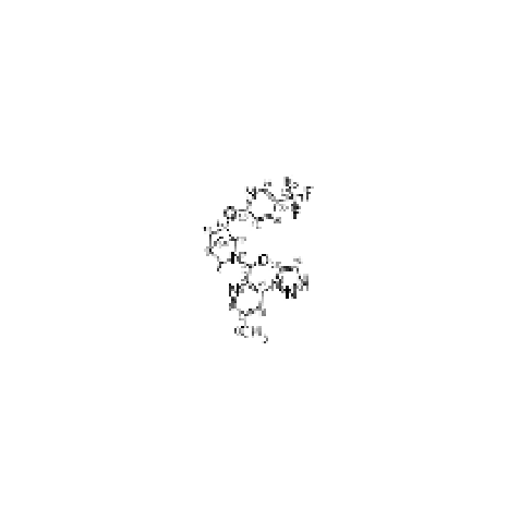 Cc1cnc(C(=O)N2CC3CC(Oc4ccc(C(F)(F)F)cn4)C2C3)c(-n2ccnn2)c1